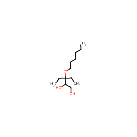 CCCCCCOC(CC)(CC)C(O)CO